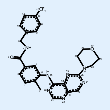 Cc1ccc(C(=O)NCc2ccc(C(F)(F)F)cc2)cc1Nc1ncnc2cnc(N3CCOCC3)nc12